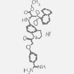 CCOC(=O)C(Nc1ccc2c(c1)CCCN2C(=O)COc1ccc(C(=N)N)cc1)S(=O)(=O)c1cccc2ccccc12.I